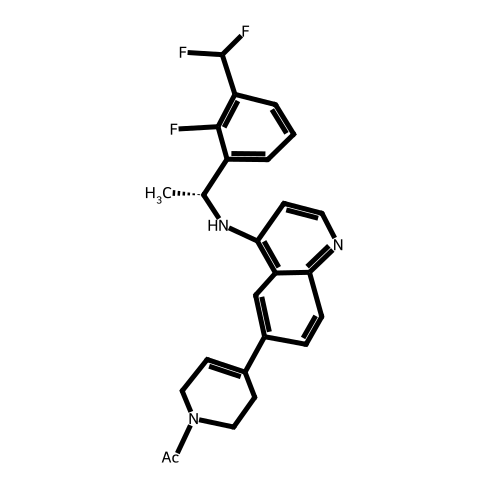 CC(=O)N1CC=C(c2ccc3nccc(N[C@H](C)c4cccc(C(F)F)c4F)c3c2)CC1